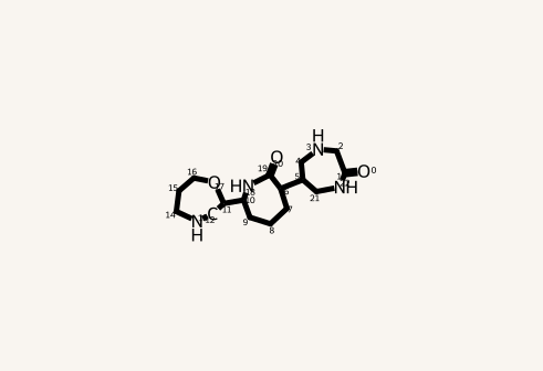 O=C1CNCC(C2CCCC(C3CNCCCO3)NC2=O)CN1